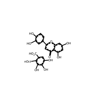 CCCCCCCCc1c(C(=O)O)cc(O)c(O)c1O.O=c1cc(-c2ccc(O)c(O)c2)oc2cc(O)cc(O)c12